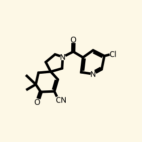 CC1(C)CC2(C=C(C#N)C1=O)CCN(C(=O)c1cncc(Cl)c1)C2